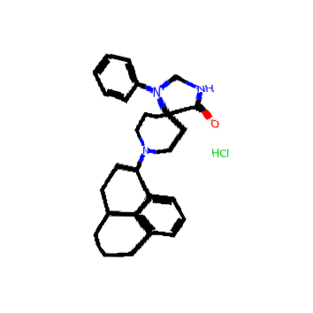 Cl.O=C1NCN(c2ccccc2)C12CCN(C1CCC3CCCc4cccc1c43)CC2